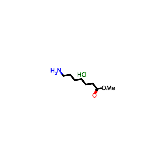 COC(=O)CCCCCCN.Cl